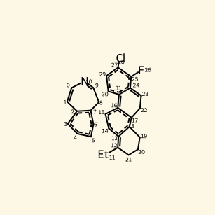 C1=Cc2ccccc2CC=N1.CCC1=c2ccc3c(c2CCC1)CC=c1c(F)c(Cl)ccc1=3